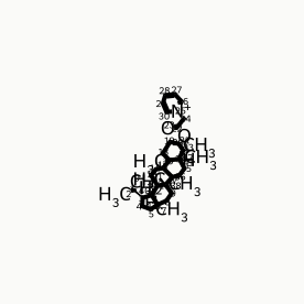 C=C(C)[C@@H]1CC[C@]2(C)CC[C@]3(C)[C@H](CCC4[C@@]5(C)CC[C@H](OC(=O)C[n+]6ccccc6)C(C)(C)[C@@H]5CC[C@]43C)[C@@H]12